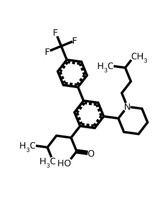 CC(C)CCN1CCCCC1c1cc(-c2ccc(C(F)(F)F)cc2)cc(C(CC(C)C)C(=O)O)c1